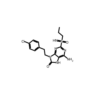 CCCS(=N)(=O)c1nc(N)c2[nH]c(=O)n(CCc3ccc(Cl)cc3)c2n1